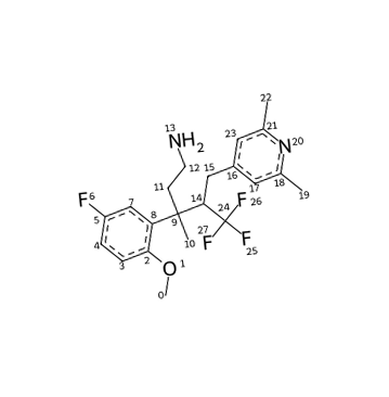 COc1ccc(F)cc1C(C)(CCN)C(Cc1cc(C)nc(C)c1)C(F)(F)F